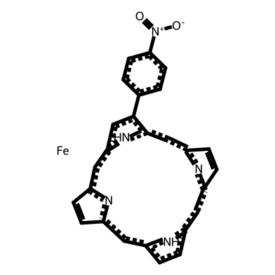 O=[N+]([O-])c1ccc(-c2cc3cc4nc(cc5ccc(cc6nc(cc2[nH]3)C=C6)[nH]5)C=C4)cc1.[Fe]